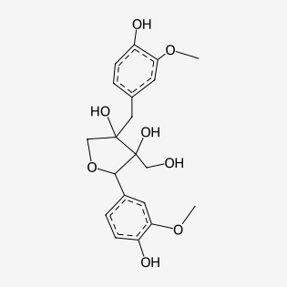 COc1cc(CC2(O)COC(c3ccc(O)c(OC)c3)C2(O)CO)ccc1O